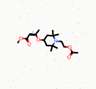 COC(=O)/C=C(/C)OC1CC(C)(C)N(CCOC(C)=O)C(C)(C)C1